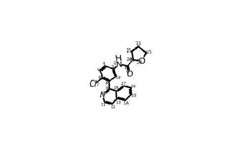 O=C(Nc1ccc(Cl)c(-c2nccc3ccccc23)c1)[C@H]1CCCO1